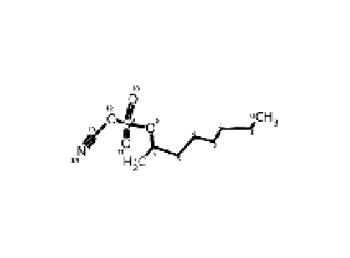 CCCCCCC(C)OS(=O)(=O)OC#N